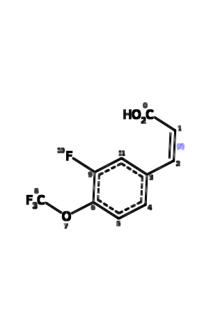 O=C(O)/C=C\c1ccc(OC(F)(F)F)c(F)c1